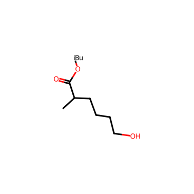 CCC(C)OC(=O)C(C)CCCCO